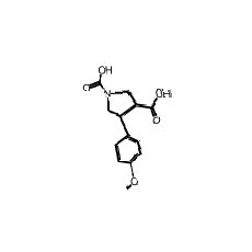 COc1ccc(C2CN(C(=O)O)CC2C(=O)O)cc1